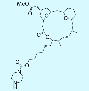 COC(=O)/C=C1\CC2CC(=O)OC(/C=C/CCCCOC(=O)N3CCNCC3)C(C)/C=C/C(C)CC3CCCC(CC(C1)O2)O3